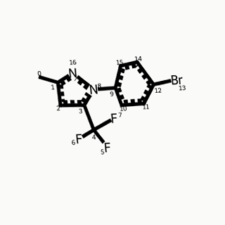 Cc1cc(C(F)(F)F)n(-c2ccc(Br)cc2)n1